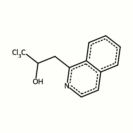 OC(Cc1nccc2ccccc12)C(Cl)(Cl)Cl